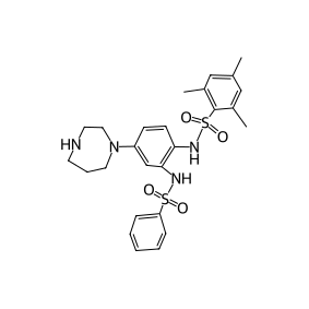 Cc1cc(C)c(S(=O)(=O)Nc2ccc(N3CCCNCC3)cc2NS(=O)(=O)c2ccccc2)c(C)c1